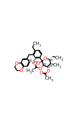 CCc1ccc(C2(OC)O[C@H](CC)[C@@H](C)[C@H](OC(C)=O)[C@H]2OC(C)=O)cc1Cc1ccc2c(c1)OCCO2